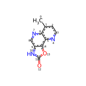 Cc1ccnc2c1ncc1[nH]c(=O)oc12